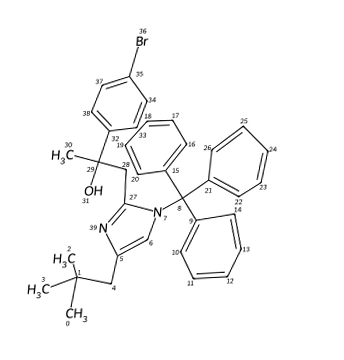 CC(C)(C)Cc1cn(C(c2ccccc2)(c2ccccc2)c2ccccc2)c(CC(C)(O)c2ccc(Br)cc2)n1